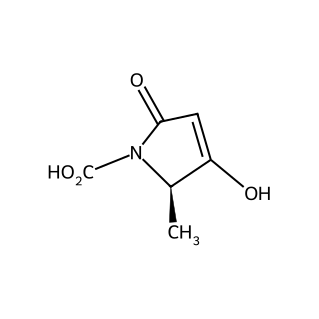 C[C@@H]1C(O)=CC(=O)N1C(=O)O